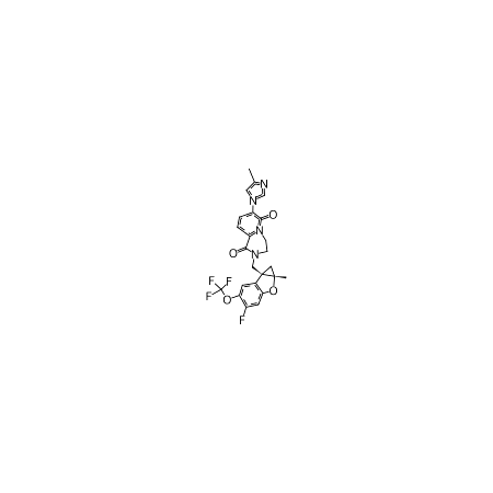 Cc1cn(-c2ccc3n(c2=O)CCN(C[C@@]24C[C@]2(C)Oc2cc(F)c(OC(F)(F)F)cc24)C3=O)cn1